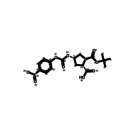 CC(C)(C)OC(=O)N1C[C@@H](OC(=O)Oc2ccc([N+](=O)[O-])cc2)C[C@H]1C(=O)O